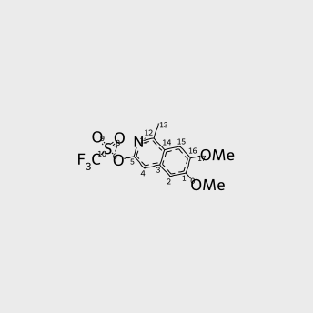 COc1cc2cc(OS(=O)(=O)C(F)(F)F)nc(C)c2cc1OC